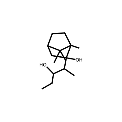 CCC(O)C(C)C1(O)CC2CCC1(C)C2(C)C